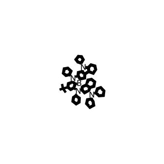 CC(C)(C)c1cc2c3c(c1)N(c1ccccc1)c1cc(N(c4ccccc4)c4ccccc4)c4ccccc4c1B3c1cc3c4ccccc4n(-c4ccccc4)c3cc1N2c1ccccc1